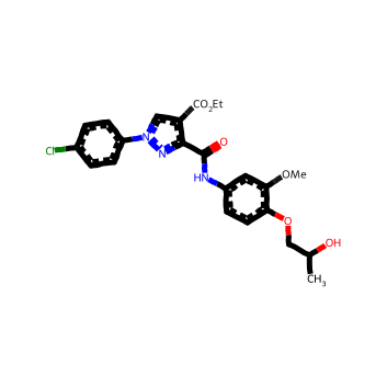 CCOC(=O)c1cn(-c2ccc(Cl)cc2)nc1C(=O)Nc1ccc(OCC(C)O)c(OC)c1